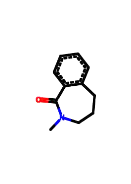 CN1CCCc2ccccc2C1=O